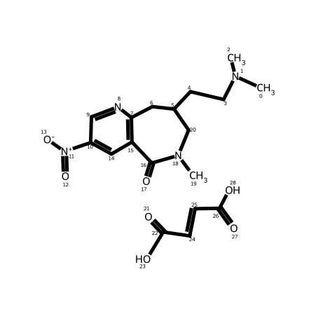 CN(C)CCC1Cc2ncc([N+](=O)[O-])cc2C(=O)N(C)C1.O=C(O)C=CC(=O)O